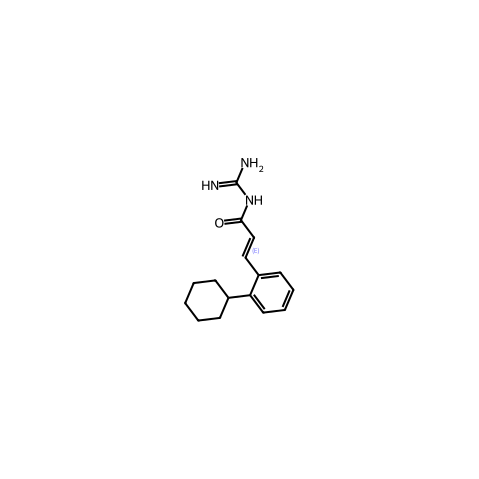 N=C(N)NC(=O)/C=C/c1ccccc1C1CCCCC1